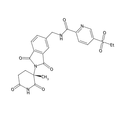 CCS(=O)(=O)c1ccc(C(=O)NCc2ccc3c(c2)C(=O)N([C@@]2(C)CCC(=O)NC2=O)C3=O)nc1